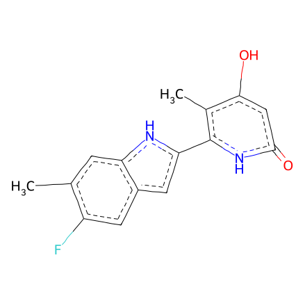 Cc1cc2[nH]c(-c3[nH]c(=O)cc(O)c3C)cc2cc1F